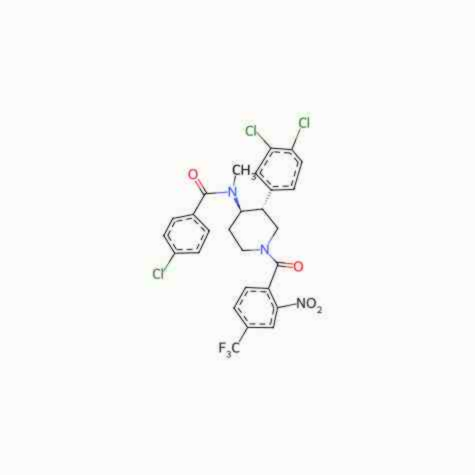 CN(C(=O)c1ccc(Cl)cc1)[C@@H]1CCN(C(=O)c2ccc(C(F)(F)F)cc2[N+](=O)[O-])C[C@H]1c1ccc(Cl)c(Cl)c1